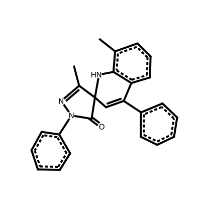 CC1=NN(c2ccccc2)C(=O)C12C=C(c1ccccc1)c1cccc(C)c1N2